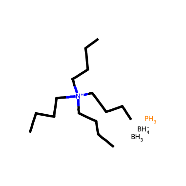 B.CCCC[N+](CCCC)(CCCC)CCCC.P.[BH4-]